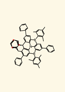 Cc1cc(C)c(B2c3cc(-c4ccccc4)cc4c3N3c5c2cc(-c2ccccc2)cc5C25c6ccccc6C(c6ccccc62)c2c(-c6ccccc6)cc(c3c25)B4c2c(C)cc(C)cc2C)c(C)c1